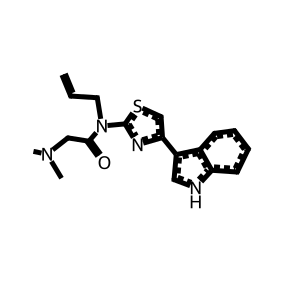 C=CCN(C(=O)CN(C)C)c1nc(-c2c[nH]c3ccccc23)cs1